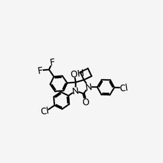 O=C1N(c2ccc(Cl)cc2)C2(CCC2)C(O)(c2cccc(C(F)F)c2)N1c1ccc(Cl)cc1